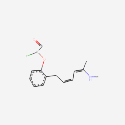 CN/C(C)=C\C=C/Cc1ccccc1OB(F)C=O